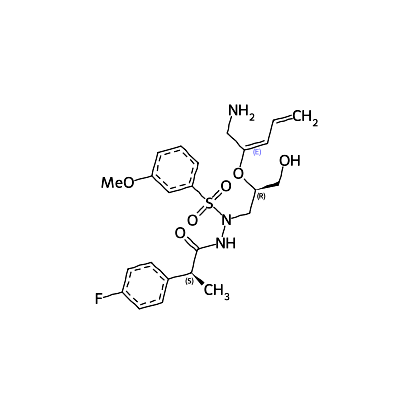 C=C/C=C(\CN)O[C@@H](CO)CN(NC(=O)[C@@H](C)c1ccc(F)cc1)S(=O)(=O)c1cccc(OC)c1